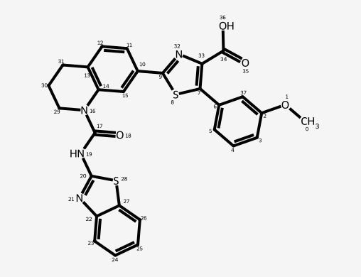 COc1cccc(-c2sc(-c3ccc4c(c3)N(C(=O)Nc3nc5ccccc5s3)CCC4)nc2C(=O)O)c1